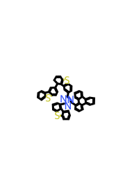 C1=Cc2sc3ccc(-c4nc(-c5cccc6sc7ccccc7c56)nc(-c5cccc6c7ccccc7c7ccccc7c56)n4)cc3c2C(c2ccc3sc4ccccc4c3c2)C1